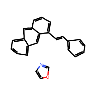 C(=Cc1cccc2cc3ccccc3cc12)c1ccccc1.c1cocn1